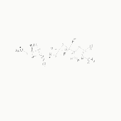 CC(=O)OC[C@]1(N)C[C@@H](C(=O)N2CC(CC(F)(F)c3ccc(C)c(Cl)c3)C2)C1